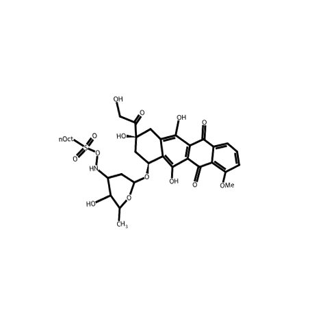 CCCCCCCCS(=O)(=O)ONC1CC(O[C@H]2C[C@](O)(C(=O)CO)Cc3c(O)c4c(c(O)c32)C(=O)c2c(OC)cccc2C4=O)OC(C)C1O